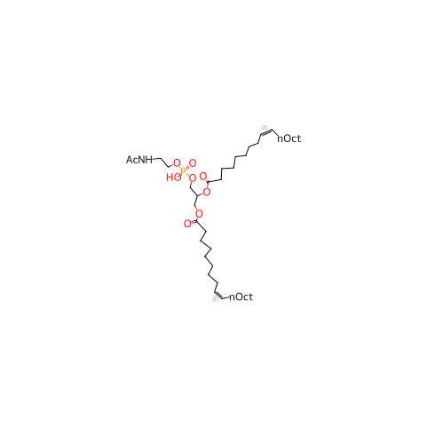 CCCCCCCC/C=C\CCCCCCCC(=O)OCC(COP(=O)(O)OCCNC(C)=O)OC(=O)CCCCCCC/C=C\CCCCCCCC